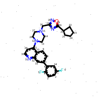 Fc1ccc(F)c(-c2ccc3c(N4CCN(Cc5noc(C6CCCC6)n5)CC4)ccnc3c2)c1